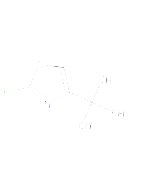 CC(C)(C)c1coc(Cl)n1